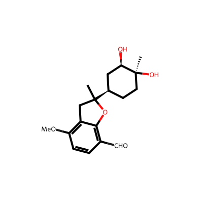 COc1ccc(C=O)c2c1CC(C)([C@@H]1CC[C@](C)(O)[C@H](O)C1)O2